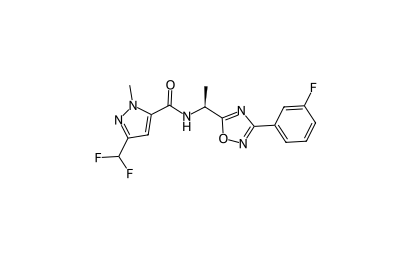 C[C@H](NC(=O)c1cc(C(F)F)nn1C)c1nc(-c2cccc(F)c2)no1